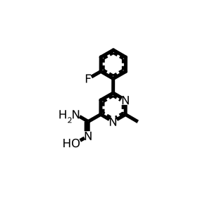 Cc1nc(C(N)=NO)cc(-c2ccccc2F)n1